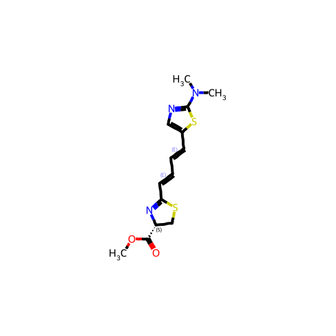 COC(=O)[C@H]1CSC(/C=C/C=C/c2cnc(N(C)C)s2)=N1